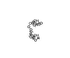 Cc1c(-c2cc(C(=O)O)c3c(O[C@H]4CCC[C@H](c5cccc(-c6ccc7c(C)c(-c8cc(C(=O)O)c9c(OCc%10cccc(C#N)c%10)ccc(C)c9n8)sc7c6)c5)C4)ccc(C)c3n2)oc2ccccc12